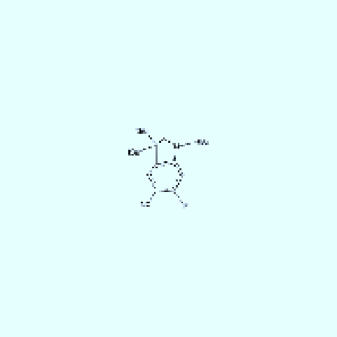 CC(C)(C)N1CC(C(C)(C)C)(C(C)(C)C)c2cc(C#N)c(F)cc21